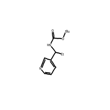 CCC(NC(=O)OC(C)(C)C)c1cccnc1